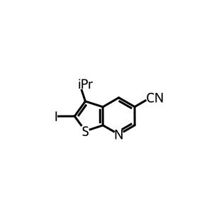 CC(C)c1c(I)sc2ncc(C#N)cc12